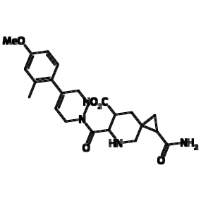 COc1ccc(C2=CCN(C(=O)C3NCC4(CC3C(=O)O)CC4C(N)=O)CC2)c(C)c1